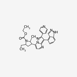 CCOC(=O)N1C(CC)CC(c2ccnc3c(-c4cccc5[nH]ncc45)c(-c4ccncc4)nn23)C1C